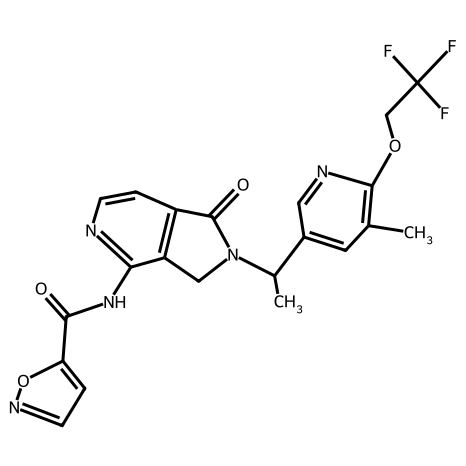 Cc1cc(C(C)N2Cc3c(ccnc3NC(=O)c3ccno3)C2=O)cnc1OCC(F)(F)F